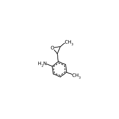 Cc1ccc(N)c(C2OC2C)c1